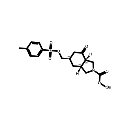 Cc1ccc(S(=O)(=O)OC[C@H]2CC(=O)[C@@H]3CN(C(=O)OC(C)(C)C)C[C@@H]3C2)cc1